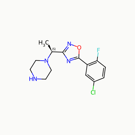 C[C@@H](c1noc(-c2cc(Cl)ccc2F)n1)N1CCNCC1